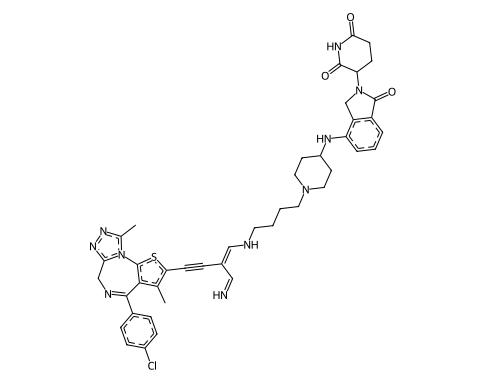 Cc1c(C#C/C(C=N)=C/NCCCCN2CCC(Nc3cccc4c3CN(C3CCC(=O)NC3=O)C4=O)CC2)sc2c1C(c1ccc(Cl)cc1)=NCc1nnc(C)n1-2